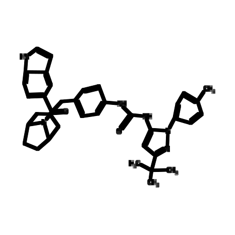 Cc1ccc(-n2nc(C(C)(C)C)cc2NC(=O)Nc2ccc(CC3CC4CCC(C3)N4C(=O)c3ccc4[nH]ccc4c3)cc2)cc1